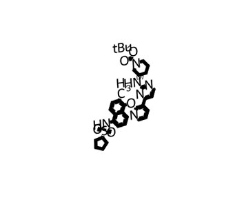 Cc1ccc2c(NS(=O)(=O)C3CCCC3)cccc2c1Oc1ncccc1-c1ccnc(N[C@H]2CCCN(C(=O)OC(C)(C)C)C2)n1